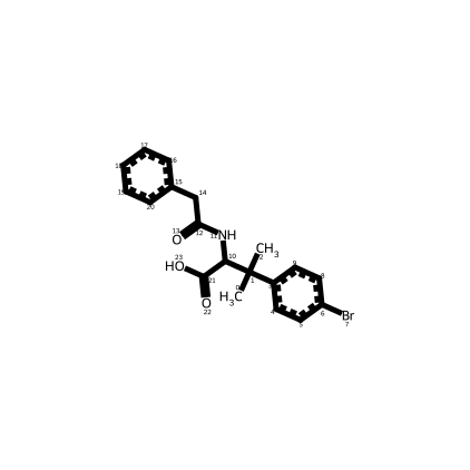 CC(C)(c1ccc(Br)cc1)C(NC(=O)Cc1ccccc1)C(=O)O